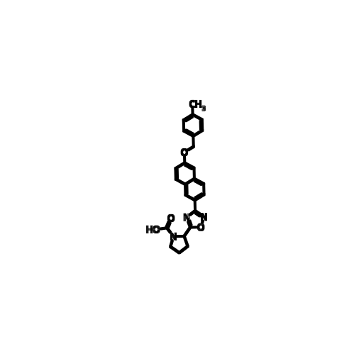 Cc1ccc(COc2ccc3cc(-c4noc(C5CCCN5C(=O)O)n4)ccc3c2)cc1